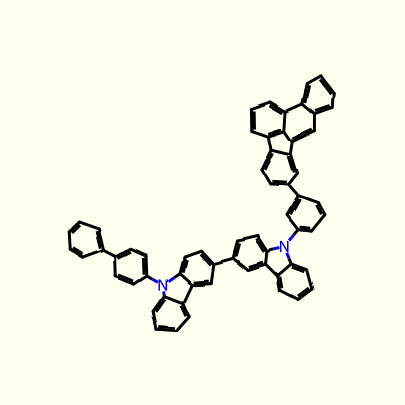 c1ccc(-c2ccc(-n3c4ccccc4c4cc(-c5ccc6c(c5)c5ccccc5n6-c5cccc(-c6ccc7c(c6)-c6cc8ccccc8c8cccc-7c68)c5)ccc43)cc2)cc1